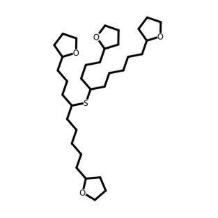 C(CCC1CCCO1)CCC(CCCC1CCCO1)SC(CCCCCC1CCCO1)CCCC1CCCO1